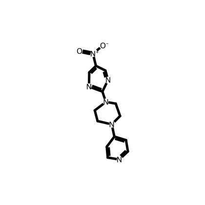 O=[N+]([O-])c1cnc(N2CCN(c3ccncc3)CC2)nc1